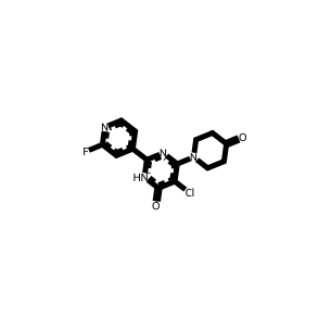 O=C1CCN(c2nc(-c3ccnc(F)c3)[nH]c(=O)c2Cl)CC1